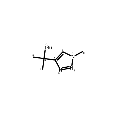 Cn1cc(C(C)(C)C(C)(C)C)nn1